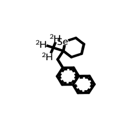 [2H]C([2H])([2H])C1(Cc2ccc3ccccc3c2)CCCC[Se]1